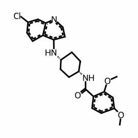 COc1ccc(C(=O)N[C@H]2CC[C@@H](Nc3ccnc4cc(Cl)ccc34)CC2)c(OC)c1